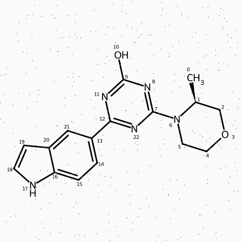 C[C@H]1COCCN1c1nc(O)nc(-c2ccc3[nH]ccc3c2)n1